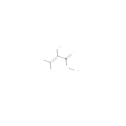 CCC(C)OC(=O)C(C)=C(C)C